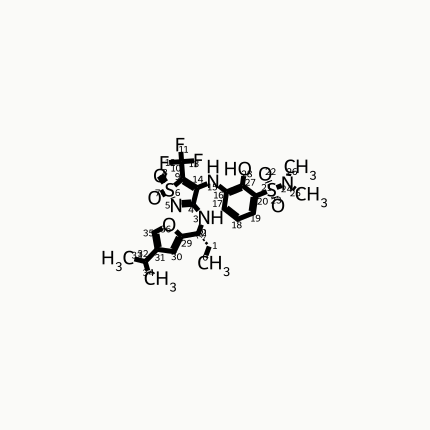 CC[C@@H](NC1=NS(=O)(=O)C(C(F)(F)F)=C1Nc1cccc(S(=O)(=O)N(C)C)c1O)c1cc(C(C)C)co1